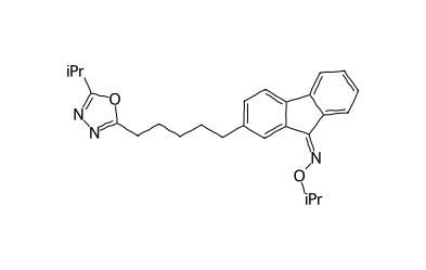 CC(C)O/N=C1/c2ccccc2-c2ccc(CCCCCc3nnc(C(C)C)o3)cc21